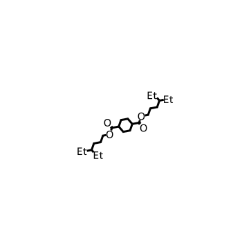 CCC(CC)CCCOC(=O)C1CCC(C(=O)OCCCC(CC)CC)CC1